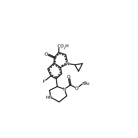 CC(C)(C)OC(=O)N1CCNCC1c1cc2c(cc1F)c(=O)c(C(=O)O)cn2C1CC1